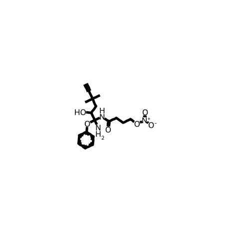 C#CC(C)(C)CC(O)C(N)(NC(=O)CCCO[N+](=O)[O-])Oc1ccccc1